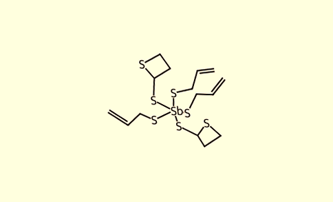 C=CC[S][Sb]([S]CC=C)([S]CC=C)([S]C1CCS1)[S]C1CCS1